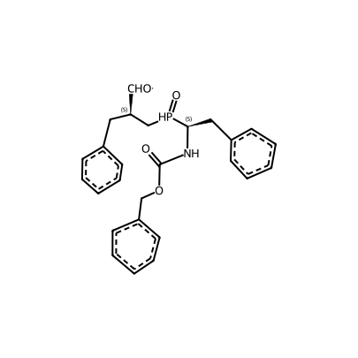 O=[C][C@H](Cc1ccccc1)C[PH](=O)[C@@H](Cc1ccccc1)NC(=O)OCc1ccccc1